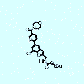 CC(C)(C)OC(=O)NCc1cc2cc(-c3ccc(C(=O)N4CCOCC4)cn3)cc(Cl)c2o1